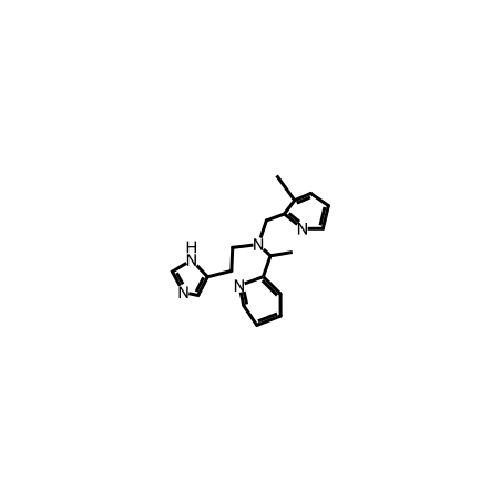 Cc1cccnc1CN(CCc1cnc[nH]1)C(C)c1ccccn1